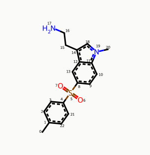 Cc1ccc(S(=O)(=O)c2ccc3c(c2)c(CCN)cn3C)cc1